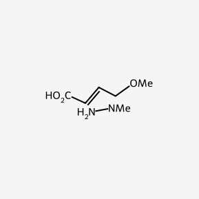 CNN.COCC=CC(=O)O